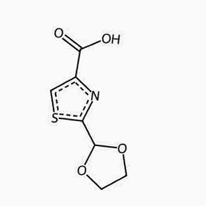 O=C(O)c1csc(C2OCCO2)n1